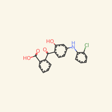 O=C(O)c1ccccc1C(=O)c1ccc(Nc2ccccc2Cl)cc1O